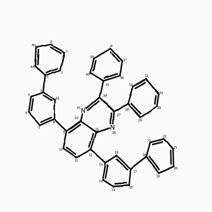 c1ccc(-c2cccc(-c3ccc(-c4cccc(-c5ccccc5)c4)c4nc(-c5ccccc5)c(-c5ccccc5)nc34)c2)cc1